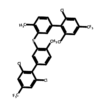 Cc1ccc(-c2c(Cl)cc(C(F)(F)F)cc2Cl)cc1Sc1cc(-c2c(Cl)cc(C(F)(F)F)cc2Cl)ccc1C